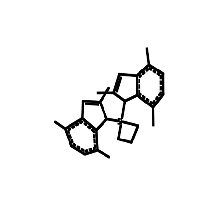 CC1=Cc2c(C)ccc(C)c2C1[Si]1(C2C(C)=Cc3c(C)ccc(C)c32)CCC1